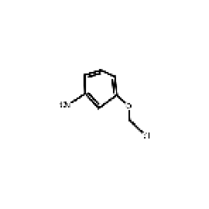 CC(C)(C)c1cccc(OCCl)c1